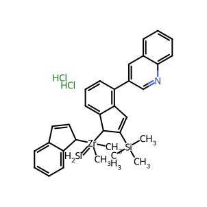 C[Si](C)(C)C1=Cc2c(-c3cnc4ccccc4c3)cccc2[CH]1[Zr]([CH3])([CH3])(=[SiH2])[CH]1C=Cc2ccccc21.Cl.Cl